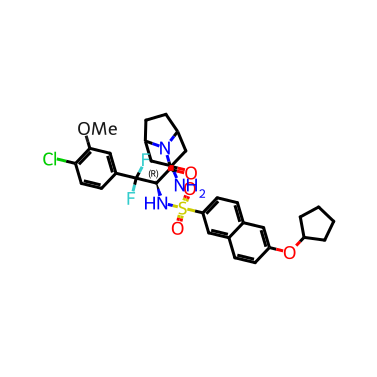 COc1cc(C(F)(F)[C@H](NS(=O)(=O)c2ccc3cc(OC4CCCC4)ccc3c2)C(=O)N2C3CCC2CC(N)C3)ccc1Cl